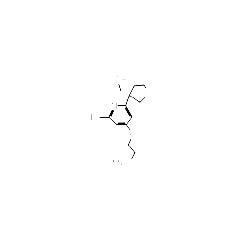 COCCOc1cc(Br)nc([C@@]2(CO)CCOC2)c1